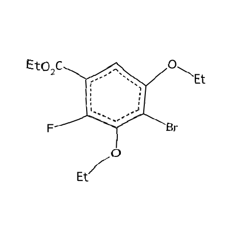 CCOC(=O)c1cc(OCC)c(Br)c(OCC)c1F